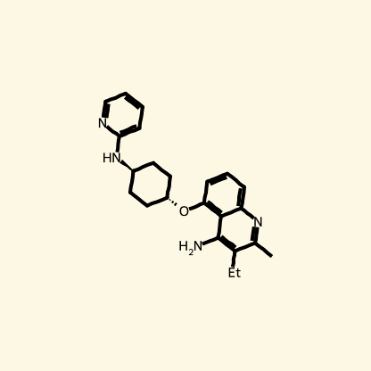 CCc1c(C)nc2cccc(O[C@H]3CC[C@H](Nc4ccccn4)CC3)c2c1N